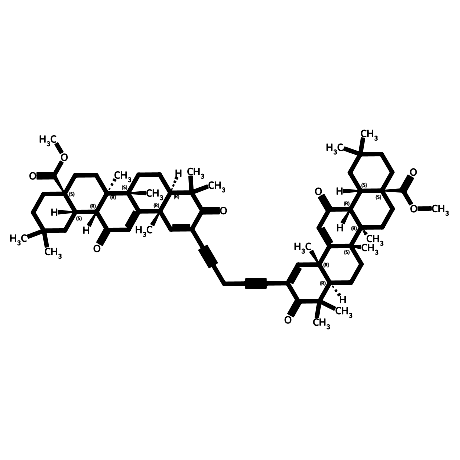 COC(=O)[C@]12CCC(C)(C)C[C@H]1[C@H]1C(=O)C=C3[C@@]4(C)C=C(C#CCC#CC5=C[C@]6(C)C7=CC(=O)[C@@H]8[C@@H]9CC(C)(C)CC[C@]9(C(=O)OC)CC[C@@]8(C)[C@]7(C)CC[C@H]6C(C)(C)C5=O)C(=O)C(C)(C)[C@@H]4CC[C@@]3(C)[C@]1(C)CC2